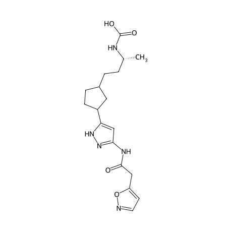 C[C@H](CCC1CCC(c2cc(NC(=O)Cc3ccno3)n[nH]2)C1)NC(=O)O